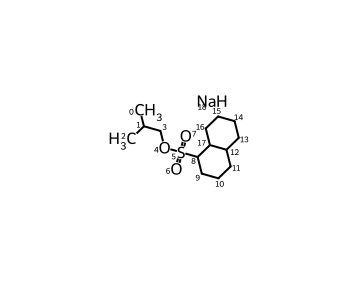 CC(C)COS(=O)(=O)C1CCCC2CCCCC21.[NaH]